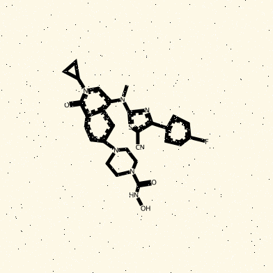 CN(c1nc(-c2ccc(F)cc2)c(C#N)s1)c1cn(C2CC2)c(=O)c2ccc(N3CCN(C(=O)NO)CC3)cc12